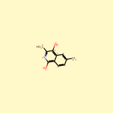 O=C(O)c1nc(O)c2ccc(C(F)(F)F)cc2c1O